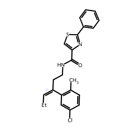 CC/C=C(/CCNC(=O)c1csc(-c2ccccc2)n1)c1cc(Cl)ccc1C